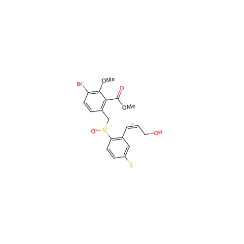 COC(=O)c1c(C[S+]([O-])c2ccc(F)cc2/C=C\CO)ccc(Br)c1OC